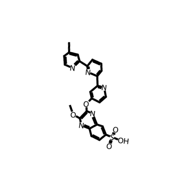 COc1nc2ccc(S(=O)(=O)O)cc2nc1Oc1ccnc(-c2cccc(-c3cc(C)ccn3)n2)c1